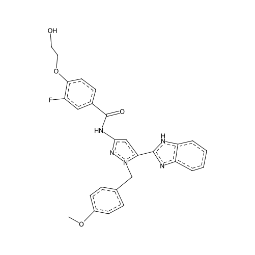 COc1ccc(Cn2nc(NC(=O)c3ccc(OCCO)c(F)c3)cc2-c2nc3ccccc3[nH]2)cc1